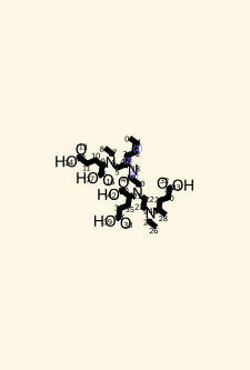 C\C=C/C=C(CN(CC)C(CCC(=O)O)C(=O)O)\N=C\CN(CCN(CC)C(C)CCC(=O)O)C(CCC(=O)O)C(=O)O